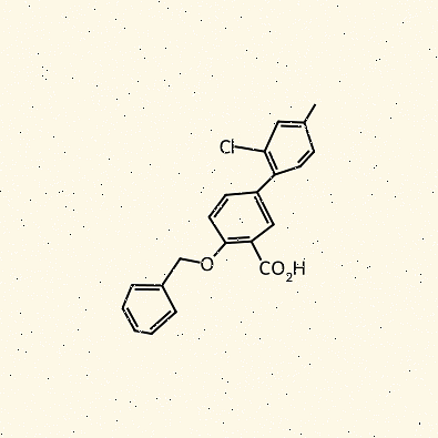 Cc1ccc(-c2ccc(OCc3ccccc3)c(C(=O)O)c2)c(Cl)c1